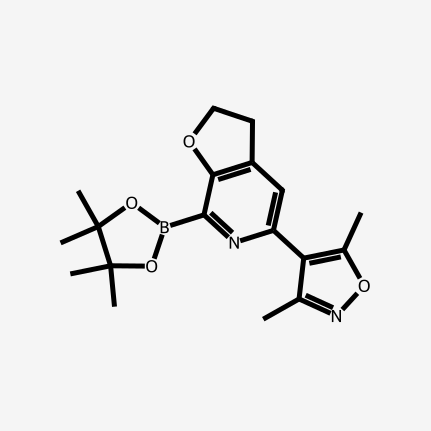 Cc1noc(C)c1-c1cc2c(c(B3OC(C)(C)C(C)(C)O3)n1)OCC2